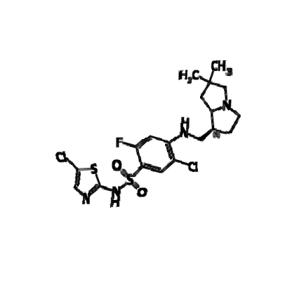 CC1(C)CC2[C@H](CNc3cc(F)c(S(=O)(=O)Nc4ncc(Cl)s4)cc3Cl)CCN2C1